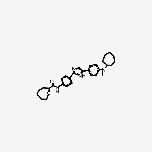 O=C(Nc1ccc(-c2ncc(-c3ccc(NC4CCCCCC4)cc3)[nH]2)cc1)C1CCCCCC1